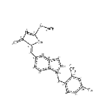 CCCSC1=NC(=O)C(=Cc2ccc3c(cnn3Cc3ccc(F)cc3C(F)(F)F)c2)S1